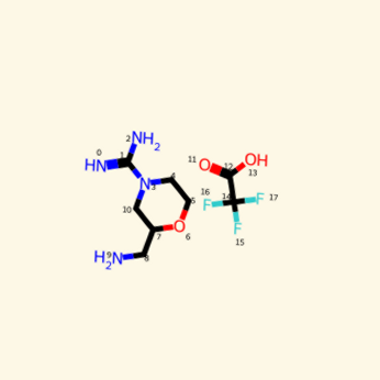 N=C(N)N1CCOC(CN)C1.O=C(O)C(F)(F)F